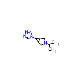 CC(C)N1CC2C(C1)C2n1cnnn1